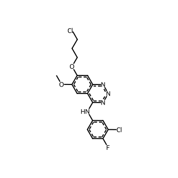 COc1cc2c(Nc3ccc(F)c(Cl)c3)nnnc2cc1OCCCCl